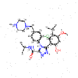 COc1cc(O)c(-c2nnc(C(=O)NC(C)C)n2-c2ccc(CN3CCN(C)CC3)cc2Cl)cc1C(C)C